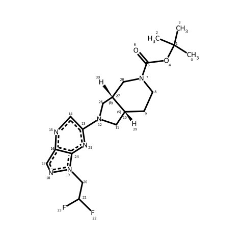 CC(C)(C)OC(=O)N1CC[C@@H]2CN(c3cnc4cnn(CC(F)F)c4n3)C[C@@H]2C1